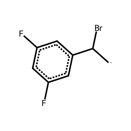 [CH2]C(Br)c1cc(F)cc(F)c1